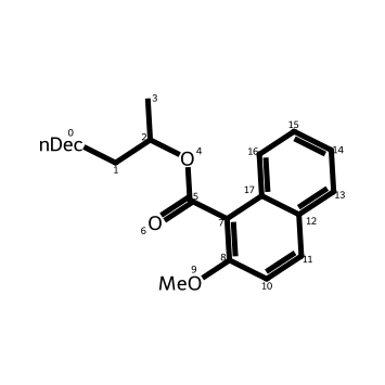 CCCCCCCCCCCC(C)OC(=O)c1c(OC)ccc2ccccc12